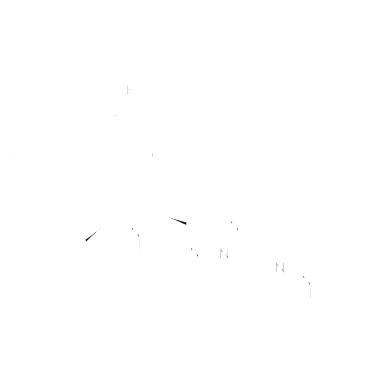 C[C@H]1C[C@@]2(C[C@@H](c3cn(Cc4n[nH]c5ccccc45)nn3)N1)OCC(F)(F)c1cc(Cl)sc12